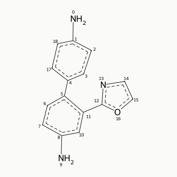 Nc1ccc(-c2ccc(N)cc2-c2ncco2)cc1